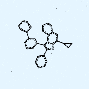 c1ccc(-c2cccc(-c3c(-c4ccccc4)nn4c(C5CC5)cc5ccccc5c34)c2)cc1